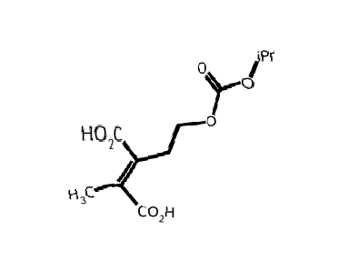 C/C(C(=O)O)=C(/CCOC(=O)OC(C)C)C(=O)O